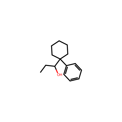 CCC(O)C1(c2ccccc2)CCCCC1